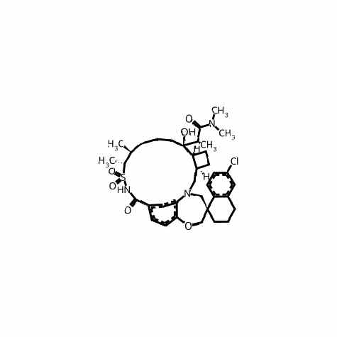 C[C@H](C(=O)N(C)C)[C@@]1(O)CCC[C@H](C)[C@@H](C)S(=O)(=O)NC(=O)c2ccc3c(c2)N(C[C@@H]2CC[C@H]21)C[C@@]1(CCCc2cc(Cl)ccc21)CO3